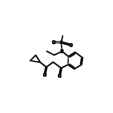 CCN(c1ccccc1C(=O)CC(=O)C1CC1)S(C)(=O)=O